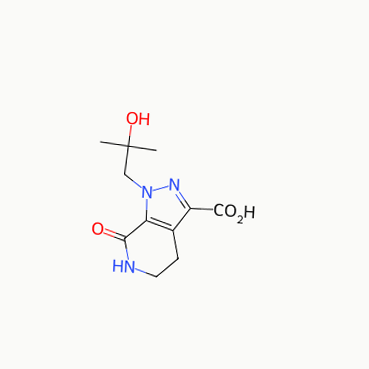 CC(C)(O)Cn1nc(C(=O)O)c2c1C(=O)NCC2